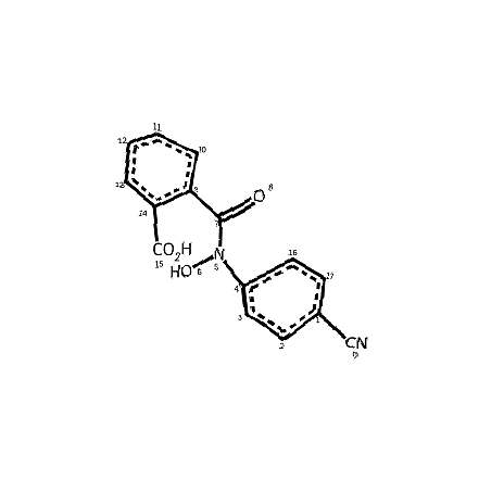 N#Cc1ccc(N(O)C(=O)c2ccccc2C(=O)O)cc1